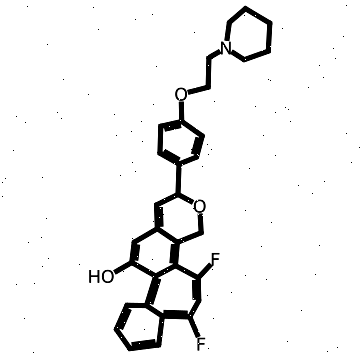 Oc1cc2c(c3c1=c1ccccc1=C(F)C=C3F)COC(c1ccc(OCCN3CCCCC3)cc1)C=2